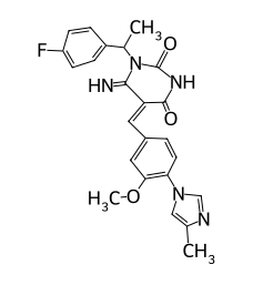 COc1cc(/C=C2/C(=N)N(C(C)c3ccc(F)cc3)C(=O)NC2=O)ccc1-n1cnc(C)c1